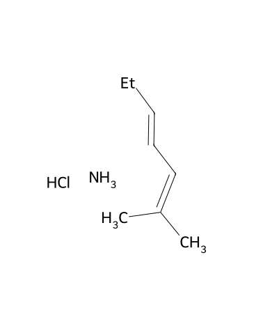 CCC=CC=C(C)C.Cl.N